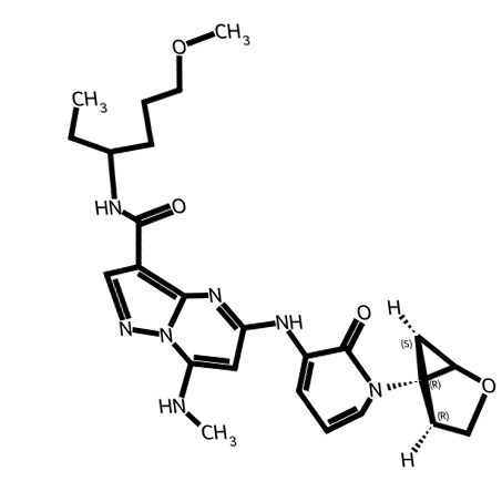 CCC(CCCOC)NC(=O)c1cnn2c(NC)cc(Nc3cccn([C@]45C6OC[C@@H]4[C@H]65)c3=O)nc12